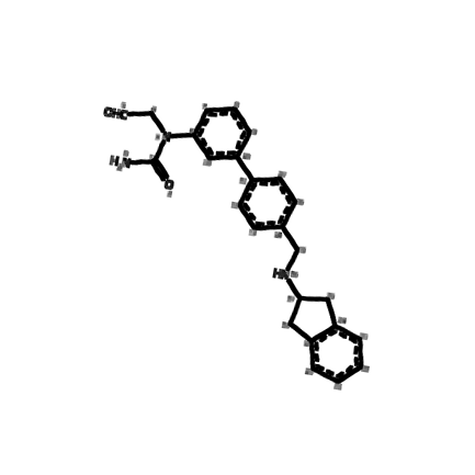 NC(=O)N(CC=O)c1cccc(-c2ccc(CNC3Cc4ccccc4C3)cc2)c1